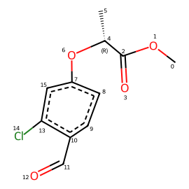 COC(=O)[C@@H](C)Oc1ccc(C=O)c(Cl)c1